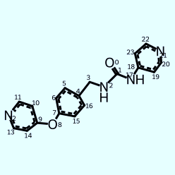 O=C(NCc1ccc(Oc2ccncc2)cc1)Nc1ccncc1